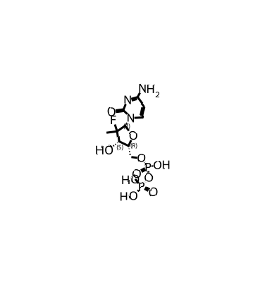 CC1(F)[C@@H](O)[C@@H](COP(=O)(O)OP(=O)(O)O)O[C@H]1n1ccc(N)nc1=O